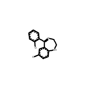 Clc1ccc2c(c1)C(c1ccccc1Cl)=NCCN2